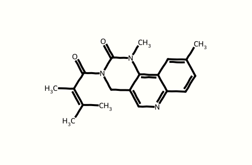 CC(C)=C(C)C(=O)N1Cc2cnc3ccc(C)cc3c2N(C)C1=O